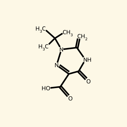 C=C1NC(=O)C(C(=O)O)=NN1C(C)(C)C